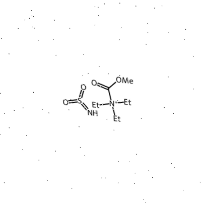 CC[N+](CC)(CC)C(=O)OC.N=S(=O)=O